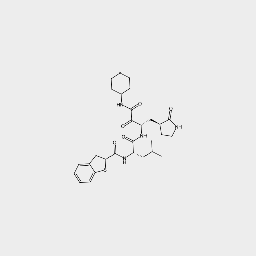 CC(C)C[C@H](NC(=O)C1Cc2ccccc2S1)C(=O)N[C@@H](C[C@@H]1CCNC1=O)C(=O)C(=O)NC1CCCCC1